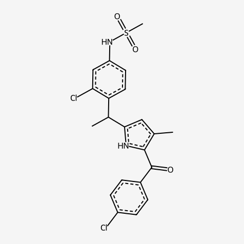 Cc1cc(C(C)c2ccc(NS(C)(=O)=O)cc2Cl)[nH]c1C(=O)c1ccc(Cl)cc1